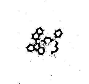 C=C/C=C\C=C\N(C(=C)/C=C\C(=C)n1c2c3ccccc3ccc2c2c3ccccc3c3ccccc3c21)c1ccccc1